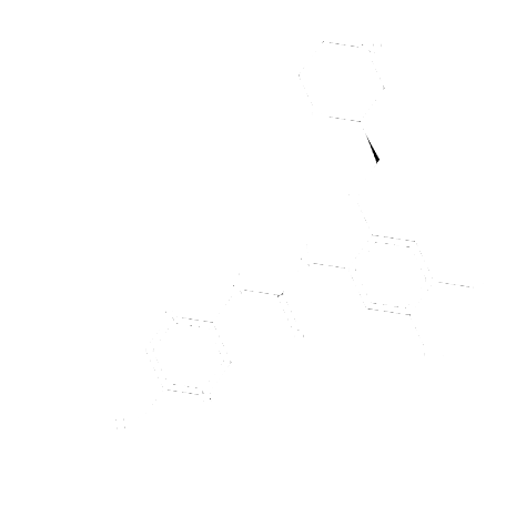 Cc1cnc(NC(=O)Nc2cc(C)c(Cl)cc2OC[C@@H]2CNCCO2)cn1